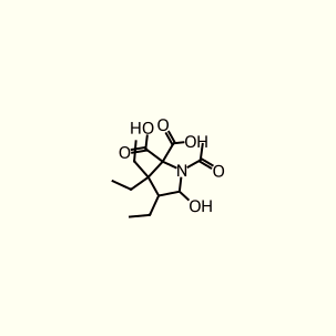 CCC1C(O)N(C(C)=O)C(C(=O)O)(C(=O)O)C1(CC)CC